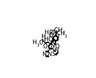 CNC(=O)C[C@]1(C(=O)O)C[C@H](c2cnccn2)[C@H](c2nccs2)N1C(=O)c1ccc(C(C)(C)C)c(OC)c1